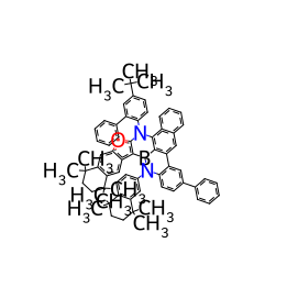 CC(C)(C)c1ccc(N2c3oc4cc5c(cc4c3B3c4c(cc6ccccc6c42)-c2cc(-c4ccccc4)ccc2N3c2ccc3c(c2)C(C)(C)CCC3(C)C)C(C)(C)CCC5(C)C)c(-c2ccccc2)c1